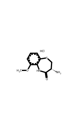 COc1cccc2c1NC(=O)[C@@H](N)CS2.Cl